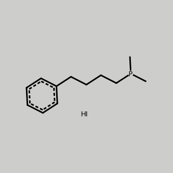 CP(C)CCCCc1ccccc1.I